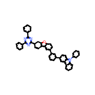 C1=CC(c2nc(-c3ccccc3)nc(-c3ccccc3)n2)Cc2oc3ccc(-c4cccc(-c5ccc6c(c5)c5ccccc5n6-c5ccccc5)c4)cc3c21